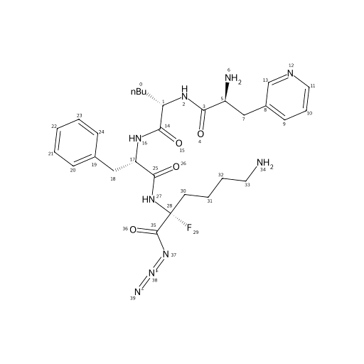 CCCC[C@H](NC(=O)[C@@H](N)Cc1cccnc1)C(=O)N[C@@H](Cc1ccccc1)C(=O)N[C@@](F)(CCCCN)C(=O)N=[N+]=[N-]